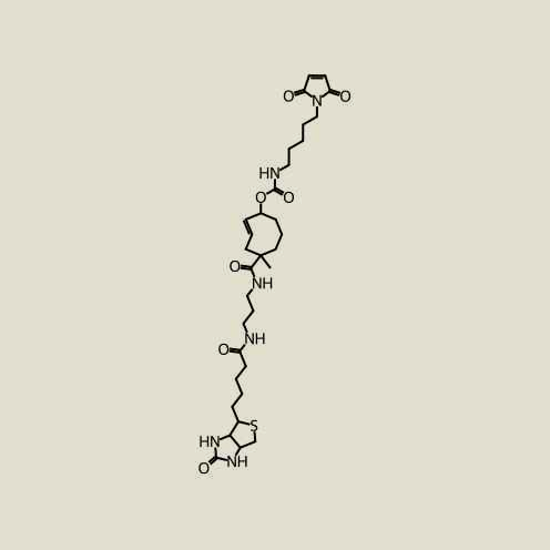 CC1(C(=O)NCCCNC(=O)CCCCC2SCC3NC(=O)NC32)C/C=C/C(OC(=O)NCCCCCN2C(=O)C=CC2=O)CCC1